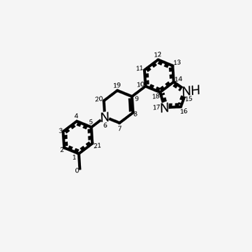 Cc1cccc(N2CC=C(c3cccc4[nH]cnc34)CC2)c1